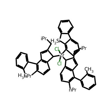 CCCc1ccc2c(c1-c1ccccc1C)C=C(CC(C)C)[CH]2[Zr]([Cl])([Cl])([c]1cccc2c1[SiH2]c1ccccc1-2)[CH]1C(CC(C)C)=Cc2c1ccc(CCC)c2-c1ccccc1C